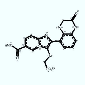 CCOC(=O)CNc1c(-c2cccc3c2NCC(=O)N3)nc2ccc(C(=O)OC)cn12